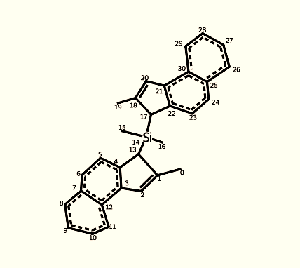 CC1=Cc2c(ccc3ccccc23)C1[Si](C)(C)C1C(C)=Cc2c1ccc1ccccc21